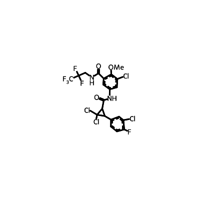 COc1c(Cl)cc(NC(=O)C2C(c3ccc(F)c(Cl)c3)C2(Cl)Cl)cc1C(=O)NCC(F)(F)C(F)(F)F